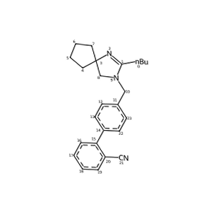 CCCCC1=NC2(CCCC2)CN1Cc1ccc(-c2ccccc2C#N)cc1